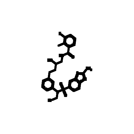 Cc1c(F)cccc1C(=O)NCC(O)CCc1cccc(N(CC(C)C)S(=O)(=O)c2ccc3nc(N)sc3c2)c1